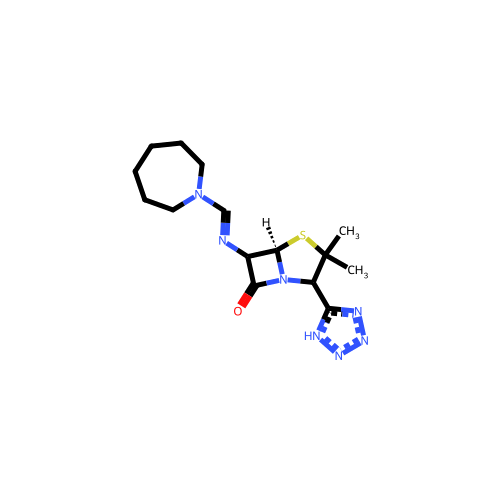 CC1(C)S[C@@H]2C(N=CN3CCCCCC3)C(=O)N2C1c1nnn[nH]1